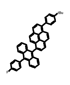 CC(C)(C)c1ccc(-c2ccc3ccc4c(-c5c6ccccc6c(-c6ccc(F)cc6)c6ccccc56)ccc5ccc2c3c54)cc1